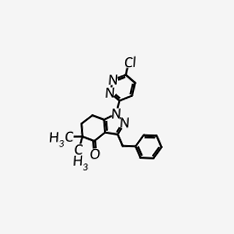 CC1(C)CCc2c(c(Cc3ccccc3)nn2-c2ccc(Cl)nn2)C1=O